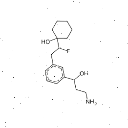 NCCC(O)c1cccc(CC(F)C2(O)CCCCC2)c1